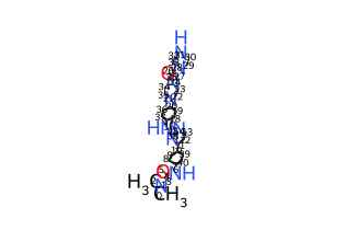 CN(C)CC(=O)Nc1ccc(-c2ccnc(Nc3ccc(N4CCN(C(=O)CN5CCNCC5)CC4)cc3)n2)cc1